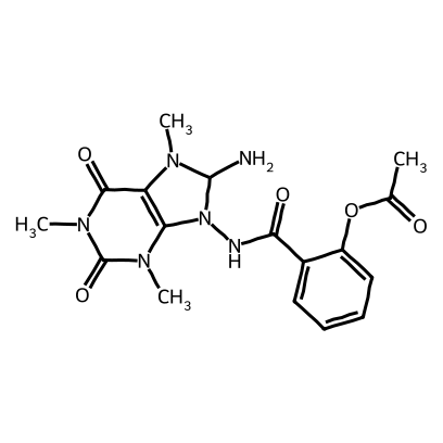 CC(=O)Oc1ccccc1C(=O)NN1c2c(c(=O)n(C)c(=O)n2C)N(C)C1N